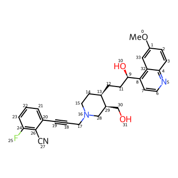 COc1ccc2nccc([C@H](O)CC[C@@H]3CCN(CC#Cc4cccc(F)c4C#N)C[C@@H]3CO)c2c1